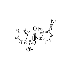 N#Cc1cccc(NC(=O)c2ccccc2C(=O)O)c1F